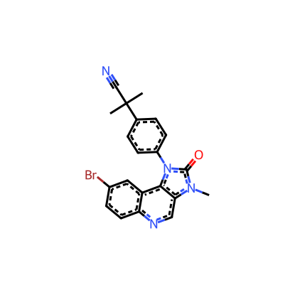 Cn1c(=O)n(-c2ccc(C(C)(C)C#N)cc2)c2c3cc(Br)ccc3ncc21